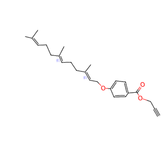 C#CCOC(=O)c1ccc(OC/C=C(\C)CC/C=C(\C)CCC=C(C)C)cc1